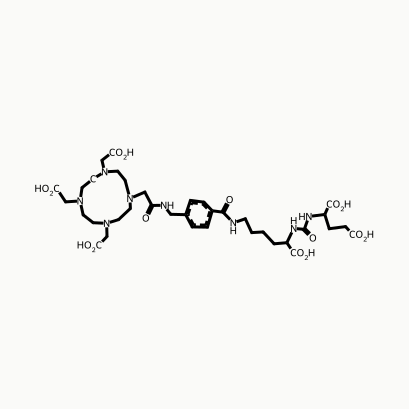 O=C(O)CCC(NC(=O)NC(CCCCNC(=O)c1ccc(CNC(=O)CN2CCN(CC(=O)O)CCN(CC(=O)O)CCN(CC(=O)O)CC2)cc1)C(=O)O)C(=O)O